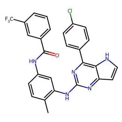 Cc1ccc(NC(=O)c2cccc(C(F)(F)F)c2)cc1Nc1nc(-c2ccc(Cl)cc2)c2[nH]ccc2n1